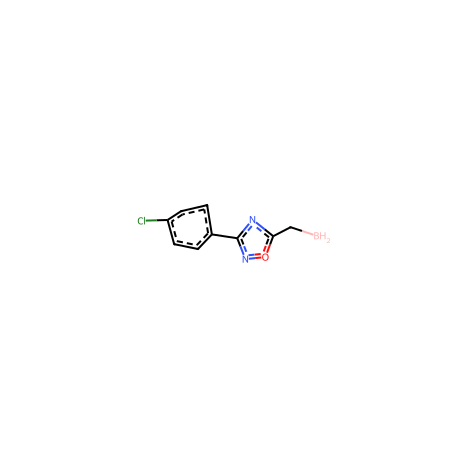 BCc1nc(-c2ccc(Cl)cc2)no1